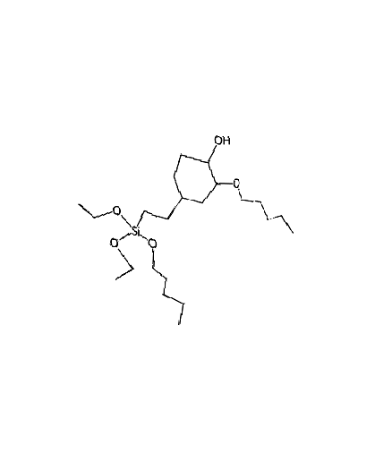 CCCCCOC1CC(CC[Si](OCC)(OCC)OCCCCC)CCC1O